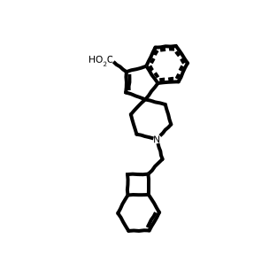 O=C(O)C1=CC2(CCN(CC3CC4CCC=CC43)CC2)c2ccccc21